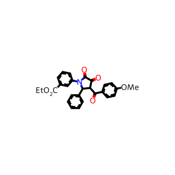 CCOC(=O)c1cccc(N2C(=O)C(=O)C(C(=O)c3ccc(OC)cc3)C2c2ccccc2)c1